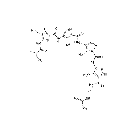 C=C(Br)C(=O)Nc1nc(C(=O)Nc2c[nH]c(C(=O)Nc3c[nH]c(C(=O)Nc4c[nH]c(C(=O)NCCNC(=N)N)c4C)c3C)c2C)[nH]c1C